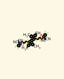 Cc1ccc(C2(c3ccc(C)cc3)c3cc4c(cc3-c3sc5c(sc6cc(/C=C7\C(=O)c8cc(F)c(F)cc8C7=C(C#N)C#N)sc65)c32)C(c2ccc(C)cc2)(c2ccc(C)cc2)c2c-4sc3c2sc2cc(/C=C4\C(=O)c5cc(F)c(F)cc5C4=C(C#N)C#N)sc23)cc1